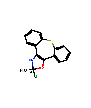 C[C@]1(Cl)NC2=C(O1)c1ccccc1Sc1ccccc12